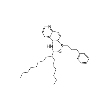 CCCCCCCCC(CCCCCC)C(=S)Nc1c(SCCCc2ccccc2)ccc2ncccc12